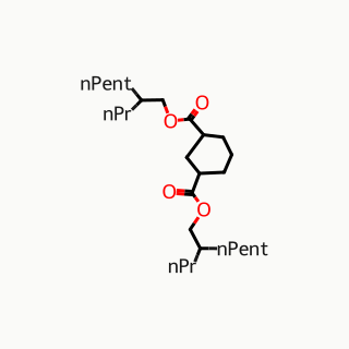 CCCCCC(CCC)COC(=O)C1CCCC(C(=O)OCC(CCC)CCCCC)C1